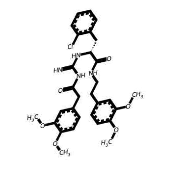 COc1ccc(CCNC(=O)[C@@H](Cc2ccccc2Cl)NC(=N)NC(=O)Cc2ccc(OC)c(OC)c2)cc1OC